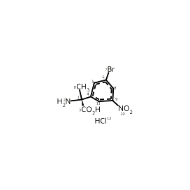 C[C@](N)(C(=O)O)c1cc(Br)cc([N+](=O)[O-])c1.Cl